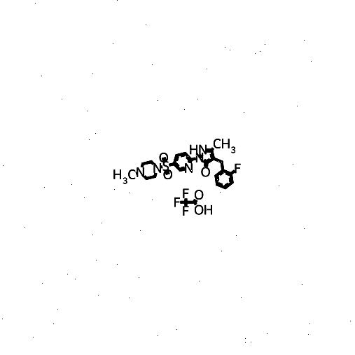 Cc1[nH]n(-c2ccc(S(=O)(=O)N3CCN(C)CC3)cn2)c(=O)c1Cc1ccccc1F.O=C(O)C(F)(F)F